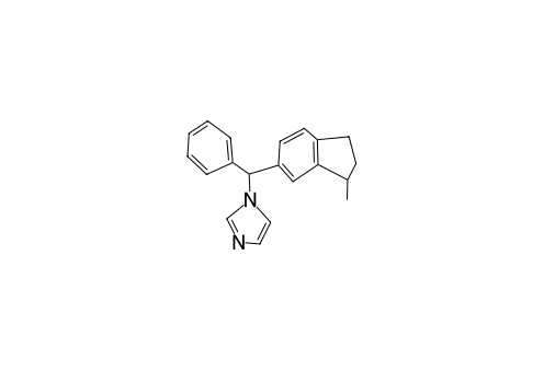 CC1CCc2ccc(C(c3ccccc3)n3ccnc3)cc21